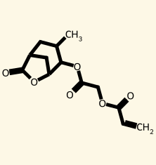 C=CC(=O)OCC(=O)OC1C(C)CC2CC1OC2=O